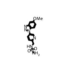 COc1ccc2c(c1)nnn2-c1ccc(CNS(N)(=O)=O)nc1